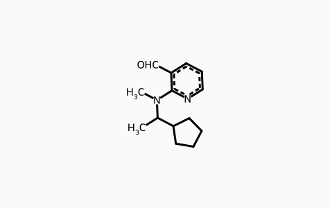 CC(C1CCCC1)N(C)c1ncccc1C=O